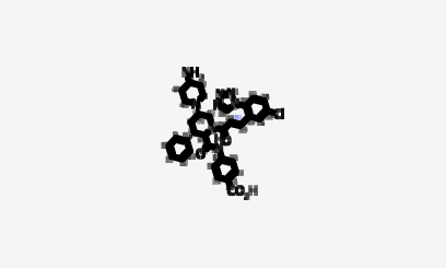 NC1CCN([C@H]2C[C@@H](c3ccccc3)C(C(=O)Nc3ccc(C(=O)O)cc3)N(C(=O)/C=C/c3cc(Cl)ccc3-n3cnnn3)C2)CC1